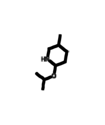 CC1[CH]CC(OC(C)C)NC1